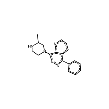 CC1CN(c2nnc(-c3ccccc3)c3cccnc23)CCN1